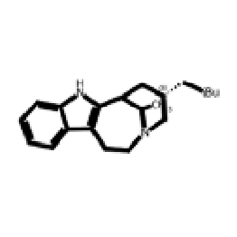 CCC(C)C[C@H]1CC2c3[nH]c4ccccc4c3CCN(C1)C2C